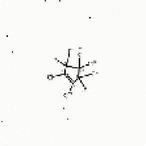 FC1(F)C(Cl)=C(Cl)C(F)(F)C1(Cl)Cl